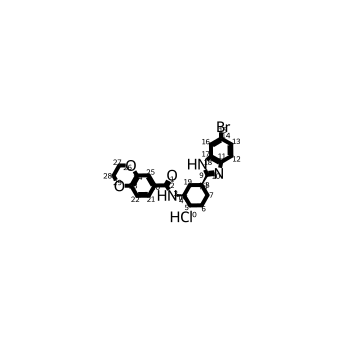 Cl.O=C(N[C@@H]1CCC[C@H](c2nc3ccc(Br)cc3[nH]2)C1)c1ccc2c(c1)OCCO2